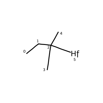 CC[C](C)(C)[Hf]